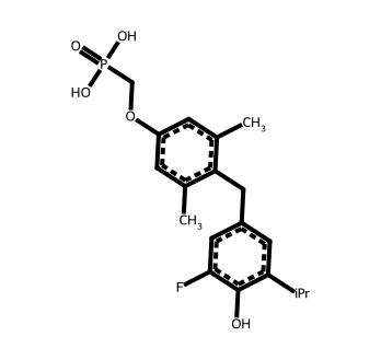 Cc1cc(OCP(=O)(O)O)cc(C)c1Cc1cc(F)c(O)c(C(C)C)c1